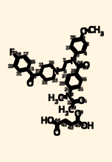 COc1ccc(N(CCN2CCC(C(=O)c3ccc(F)cc3)CC2)C(=O)c2ccc(N(C)C(C)=O)cc2)cc1.O=C(O)/C=C/C(=O)O